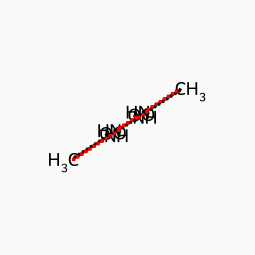 CCCCCCCCCCCCCCCCCC(=O)NCCNC(=O)CCCCCCCCC(=O)NCCNC(=O)CCCCCCCCCCCCCCCCC